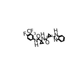 O=C(NC1(C(=O)Nc2ccc(F)c(C(F)(F)F)c2)CC1)[C@H]1C[C@@H]1c1nc2ccccc2[nH]1